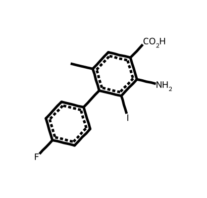 Cc1cc(C(=O)O)c(N)c(I)c1-c1ccc(F)cc1